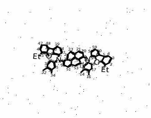 CCc1cccc2c1oc1c(N(C3=CC(C)=C(C)CC3)c3ccc4ccc5c(N(c6ccc(C)c(C)c6)c6cccc7c6oc6c(CC)cccc67)ccc6ccc3c4c65)cccc12